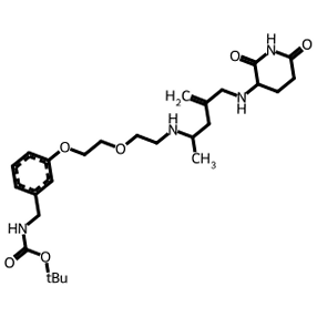 C=C(CNC1CCC(=O)NC1=O)CC(C)NCCOCCOc1cccc(CNC(=O)OC(C)(C)C)c1